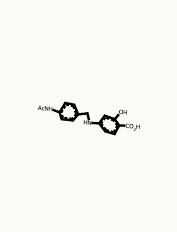 CC(=O)Nc1ccc(CNc2ccc(C(=O)O)c(O)c2)cc1